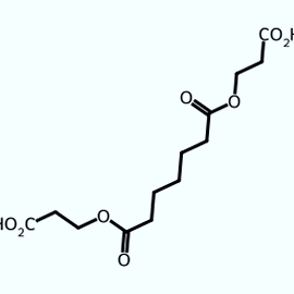 O=C(O)CCOC(=O)CCCCCC(=O)OCCC(=O)O